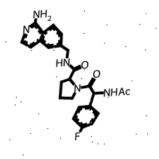 CC(=O)NC(C(=O)N1CCCC1C(=O)NCc1ccc2c(N)nccc2c1)c1ccc(F)cc1